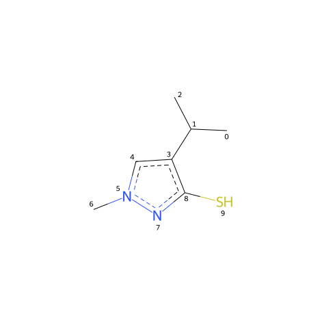 CC(C)c1cn(C)nc1S